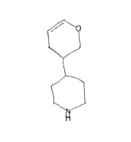 C1=COCC(C2CCNCC2)C1